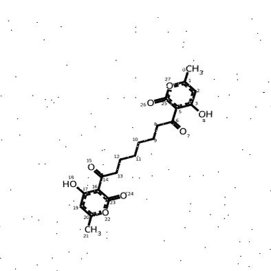 Cc1cc(O)c(C(=O)CCCCCCC(=O)c2c(O)cc(C)oc2=O)c(=O)o1